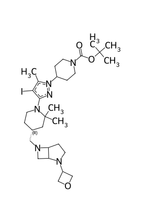 Cc1c(I)c(N2CC[C@@H](CN3CC4C3CCN4C3COC3)CC2(C)C)nn1C1CCN(C(=O)OC(C)(C)C)CC1